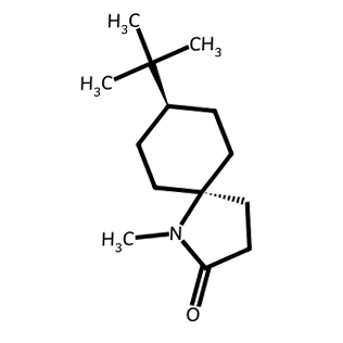 CN1C(=O)CC[C@]12CC[C@H](C(C)(C)C)CC2